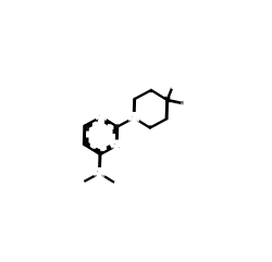 CN(C)c1ccnc(N2CCC(F)(F)CC2)n1